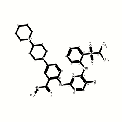 CNC(=O)c1cc(N2CCC(N3CCCCC3)CC2)ccc1Nc1ncc(Cl)c(Nc2ccccc2S(=O)(=O)C(C)C)n1